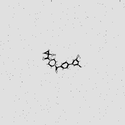 Cc1cc(-c2ccc(C(=O)N3CCN(C(=O)C4(O)CC4)CC3)cc2)cc(C(F)(F)F)c1